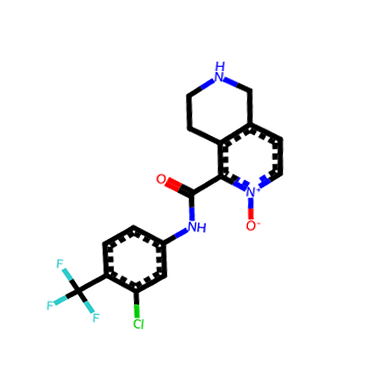 O=C(Nc1ccc(C(F)(F)F)c(Cl)c1)c1c2c(cc[n+]1[O-])CNCC2